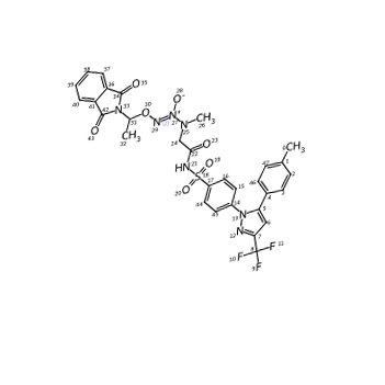 Cc1ccc(-c2cc(C(F)(F)F)nn2-c2ccc(S(=O)(=O)NC(=O)CN(C)/[N+]([O-])=N/OC(C)N3C(=O)c4ccccc4C3=O)cc2)cc1